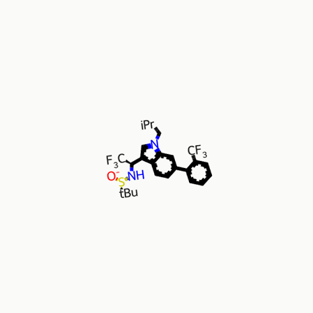 CC(C)Cn1cc([C@@H](N[S@+]([O-])C(C)(C)C)C(F)(F)F)c2ccc(-c3ccccc3C(F)(F)F)cc21